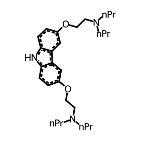 CCCN(CCC)CCOc1ccc2[nH]c3ccc(OCCN(CCC)CCC)cc3c2c1